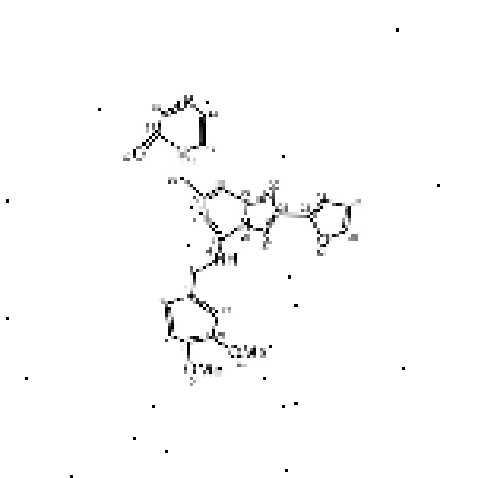 COc1ccc(CNc2nc(Cn3ccccc3=O)cc3nc(-c4ccco4)nn23)cc1OC